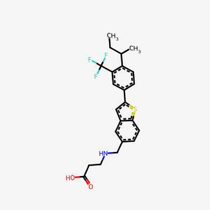 CCC(C)c1ccc(-c2cc3cc(CNCCC(=O)O)ccc3s2)cc1C(F)(F)F